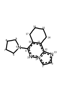 c1cn2nc(N3CCCC3)c3c(c2n1)CCCC3